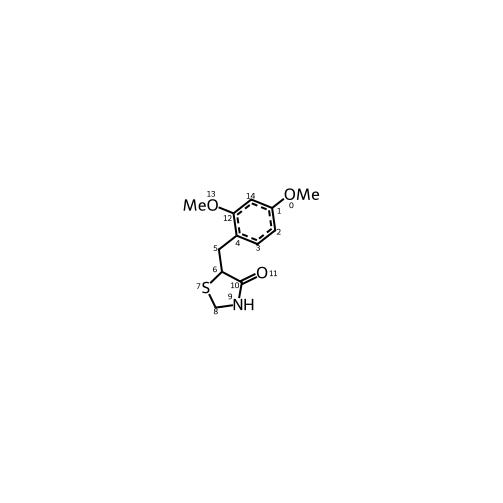 COc1ccc(CC2SCNC2=O)c(OC)c1